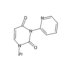 CC(C)n1ccc(=O)n(-c2ccccn2)c1=O